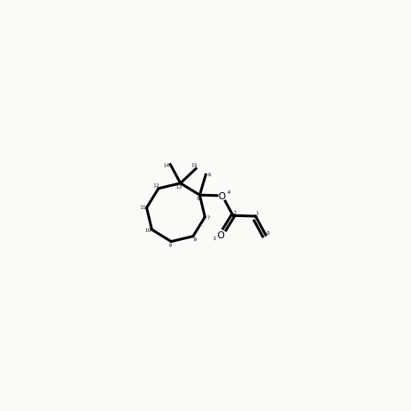 C=CC(=O)OC1(C)CCCCCCC1(C)C